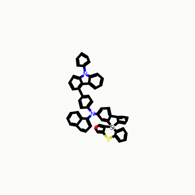 c1ccc(-n2c3ccccc3c3c(-c4ccc(N(c5ccc6c(c5)[Si]5(c7ccccc7Sc7ccccc75)c5ccccc5-6)c5cccc6ccccc56)cc4)cccc32)cc1